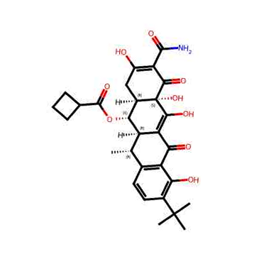 C[C@H]1c2ccc(C(C)(C)C)c(O)c2C(=O)C2=C(O)[C@]3(O)C(=O)C(C(N)=O)=C(O)C[C@@H]3[C@@H](OC(=O)C3CCC3)[C@@H]21